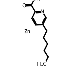 CCCCCCc1ccc(C(=O)O)nc1.[Zn]